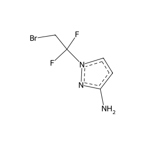 Nc1ccn(C(F)(F)CBr)n1